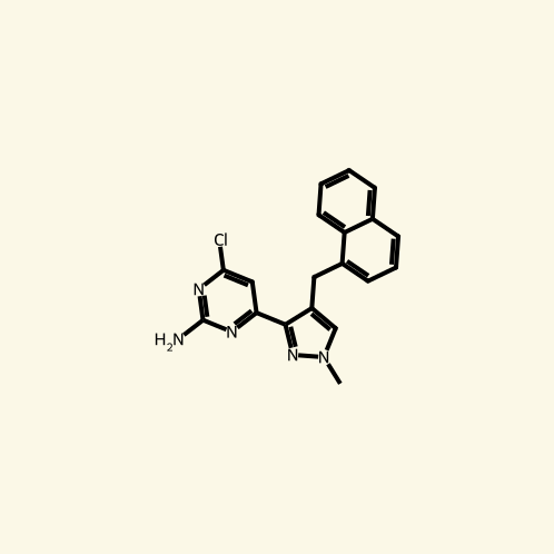 Cn1cc(Cc2cccc3ccccc23)c(-c2cc(Cl)nc(N)n2)n1